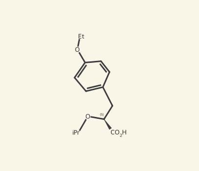 CCOc1ccc(C[C@H](OC(C)C)C(=O)O)cc1